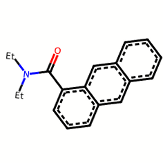 CCN(CC)C(=O)c1cccc2cc3ccccc3cc12